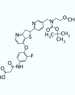 COCCN(Cc1ccc(C2Cc3nccc(Oc4ccc(NC(=O)CC(=O)O)cc4F)c3S2)nc1)C(=O)OC(C)(C)C